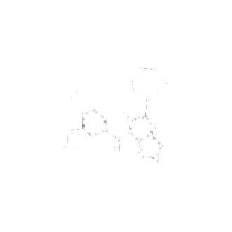 COc1ccc(Nc2nc(C3CCCCCC3)nc3cn[nH]c23)cc1OC